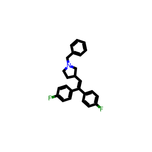 Fc1ccc(C(=CC2CCN(Cc3ccccc3)C2)c2ccc(F)cc2)cc1